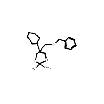 CC1(C)OCC(COCc2ccccc2)(C2CCCCC2)CO1